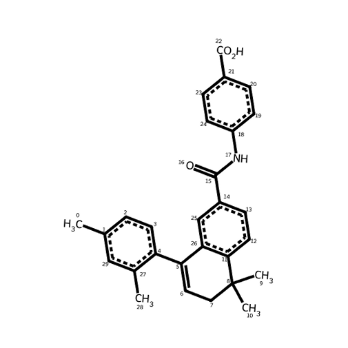 Cc1ccc(C2=CCC(C)(C)c3ccc(C(=O)Nc4ccc(C(=O)O)cc4)cc32)c(C)c1